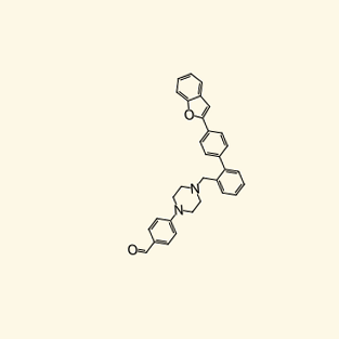 O=Cc1ccc(N2CCN(Cc3ccccc3-c3ccc(-c4cc5ccccc5o4)cc3)CC2)cc1